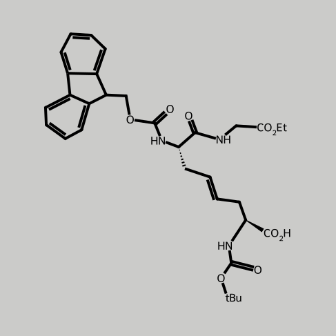 CCOC(=O)CNC(=O)[C@H](CC=CC[C@H](NC(=O)OC(C)(C)C)C(=O)O)NC(=O)OCC1c2ccccc2-c2ccccc21